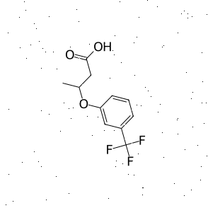 CC(CC(=O)O)Oc1cccc(C(F)(F)F)c1